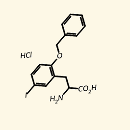 Cl.NC(Cc1cc(I)ccc1OCc1ccccc1)C(=O)O